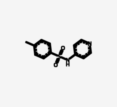 Cc1ccc(S(=O)(=O)Nc2ccncc2)cc1